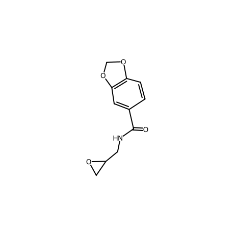 O=C(NCC1CO1)c1ccc2c(c1)OCO2